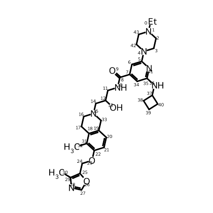 CCN1CCN(c2cc(C(=O)NCC(O)CN3CCc4c(ccc(OCc5ocnc5C)c4C)C3)cc(NC3CCC3)n2)CC1